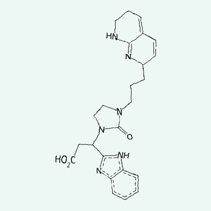 O=C(O)CC(c1nc2ccccc2[nH]1)N1CCN(CCCC2C=CC3=CCCNC3=N2)C1=O